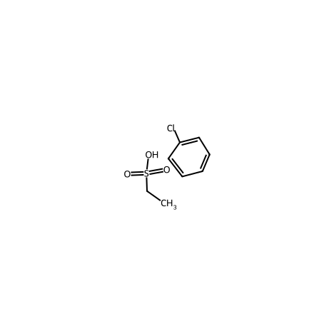 CCS(=O)(=O)O.Clc1ccccc1